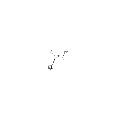 CCCC=C(C)CC